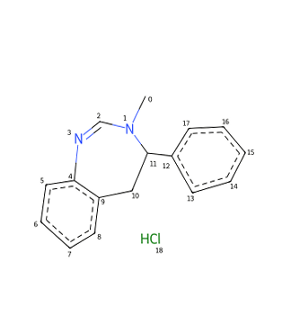 CN1C=Nc2ccccc2CC1c1ccccc1.Cl